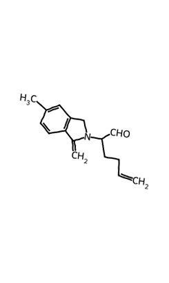 C=CCCC(C=O)N1Cc2cc(C)ccc2C1=C